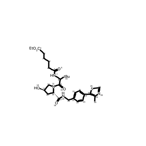 CCOC(=O)CCCCC(=O)NC(C(=O)N1C[C@H](O)C[C@H]1C(=O)NCc1ccc(-c2scnc2C)cc1)C(C)(C)C